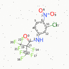 O=C(Nc1ccc([N+](=O)[O-])c(Cl)c1)C(F)(C(F)(F)F)C(F)(F)F